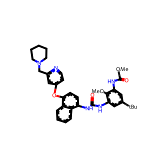 COC(=O)Nc1cc(C(C)(C)C)cc(NC(=O)Nc2ccc(Oc3ccnc(CN4CCCCC4)c3)c3ccccc23)c1OC